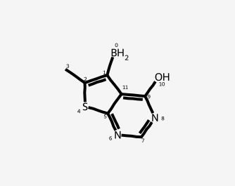 Bc1c(C)sc2ncnc(O)c12